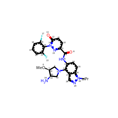 CO[C@H]1CN(c2c(NC(=O)c3ccc(=O)n(-c4c(F)cccc4F)n3)ccc3c2cnn3C(C)C)C[C@H]1N